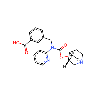 O=C(O)c1cccc(CN(C(=O)O[C@H]2CN3CCC2CC3)c2ccccn2)c1